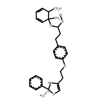 CCOC(CCc1ccc(OCCC2=CO[C@@](C)(c3ccccc3)N2)cc1)OC1(C)C=CC=CC1C(=O)O